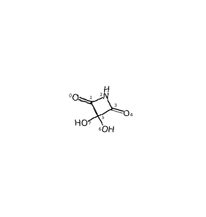 O=C1NC(=O)C1(O)O